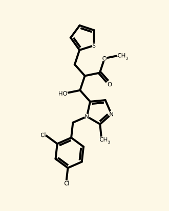 COC(=O)C(Cc1cccs1)C(O)c1cnc(C)n1Cc1ccc(Cl)cc1Cl